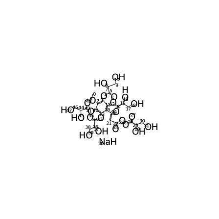 COc1c(OC(=O)C(O)CO)c(OC(=O)C(O)CO)c(C=CC(=O)OOC(=O)C(O)CO)c(OC(=O)C(O)CO)c1OC(=O)C(O)CO.[NaH]